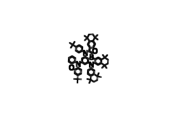 CC(C)(C)c1ccc(N2c3cc(N4c5ccccc5Oc5cc(C(C)(C)C)ccc54)cc4c3B(c3cc5c(cc3N4c3ccc4c(c3)C(C)(C)CCC4(C)C)C(C)(C)CCC5(C)C)c3oc4cc5c(cc4c32)C(C)(C)CCC5(C)C)cc1